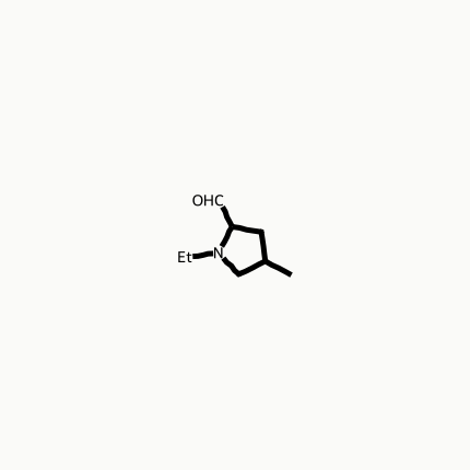 CCN1CC(C)CC1C=O